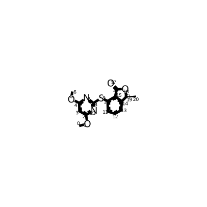 COc1cc(OC)nc(Sc2cccc3c2C(=O)O[C@H]3C)n1